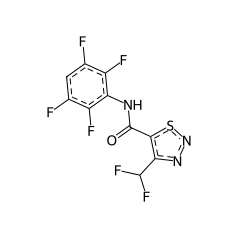 O=C(Nc1c(F)c(F)cc(F)c1F)c1snnc1C(F)F